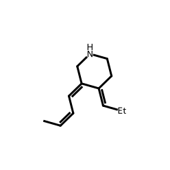 C\C=C/C=C1/CNCC/C1=C\CC